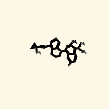 CN(N)c1c(N)nc(N2CCCc3c(C#CC4(C)CC4)cncc32)c2cc(F)ccc12